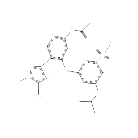 CC(=O)Nc1cc(Nc2cc(OC(C)C)cc(S(C)(=O)=O)n2)c(-c2cc(C)n(C)n2)cn1